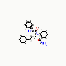 NC(=O)[C@H]1CCCC[C@@H]1N(CCCC1CCCCC1)C(=O)Nc1ccccc1